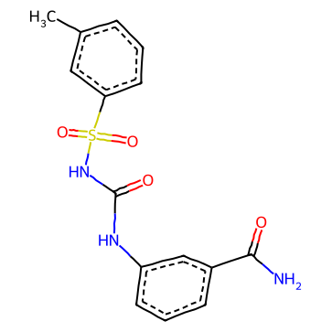 Cc1cccc(S(=O)(=O)NC(=O)Nc2cccc(C(N)=O)c2)c1